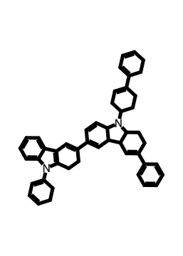 C1=CCCC(C2=CCC(N3C4C=CC(C5=Cc6c(n(C7=CC=CCC7)c7ccccc67)CC5)=CC4C4C=C(c5ccccc5)CCC43)CC2)=C1